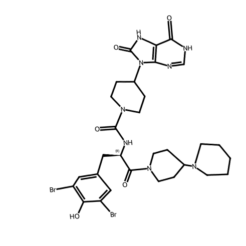 O=C(N[C@H](Cc1cc(Br)c(O)c(Br)c1)C(=O)N1CCC(N2CCCCC2)CC1)N1CCC(n2c(=O)[nH]c3c(=O)[nH]cnc32)CC1